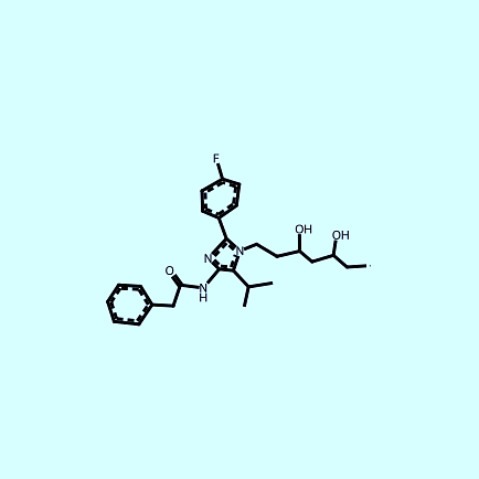 [CH2]CC(O)CC(O)CCn1c(-c2ccc(F)cc2)nc(NC(=O)Cc2ccccc2)c1C(C)C